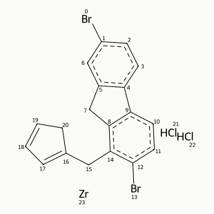 Brc1ccc2c(c1)Cc1c-2ccc(Br)c1CC1=CC=CC1.Cl.Cl.[Zr]